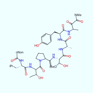 C=C(N[C@H](C(=O)N[C@@H](C)C(=O)N[C@@H](Cc1ccc(O)cc1)C(=O)NC(C)C(=O)C(=O)NC)C(O)OC)C1CCCN1C(=O)C(NC(=O)[C@H](CC(C)C)NC(=O)CCCCCCCCC)C(C)O